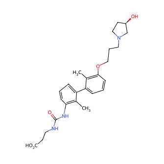 Cc1c(NC(=O)NCCC(=O)O)cccc1-c1cccc(OCCCN2CC[C@@H](O)C2)c1C